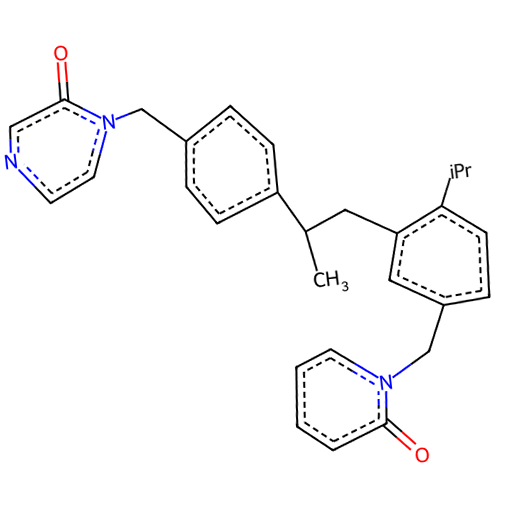 CC(C)c1ccc(Cn2ccccc2=O)cc1CC(C)c1ccc(Cn2ccncc2=O)cc1